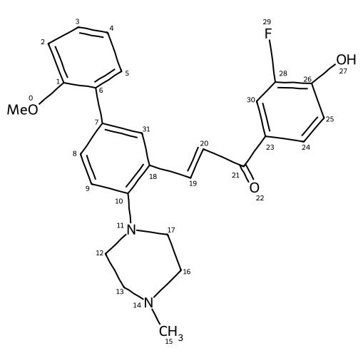 COc1ccccc1-c1ccc(N2CCN(C)CC2)c(C=CC(=O)c2ccc(O)c(F)c2)c1